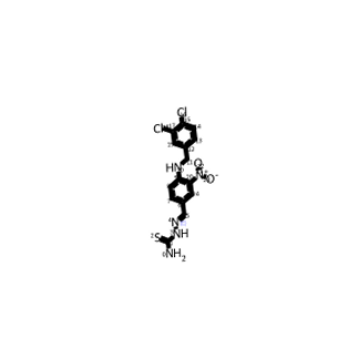 NC(=S)N/N=C/c1ccc(NCc2ccc(Cl)c(Cl)c2)c([N+](=O)[O-])c1